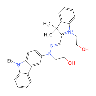 CCn1c2ccccc2c2cc(N(CCO)N=CC3=[N+](CCO)c4ccccc4C3(C)C)ccc21